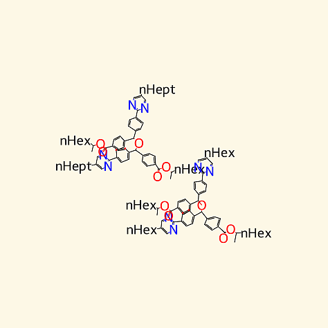 CCCCCCCc1cnc(-c2ccc(C(OC(c3ccc(C(=O)OC(C)CCCCCC)cc3)c3ccc(-c4ncc(CCCCCCC)cn4)cc3)c3ccc(C(=O)OC(C)CCCCCC)cc3)cc2)nc1.CCCCCCc1cnc(-c2ccc(C(OC(c3ccc(C(=O)OC(C)CCCCCC)cc3)c3ccc(-c4ncc(CCCCCC)cn4)cc3)c3ccc(C(=O)OC(C)CCCCCC)cc3)cc2)nc1